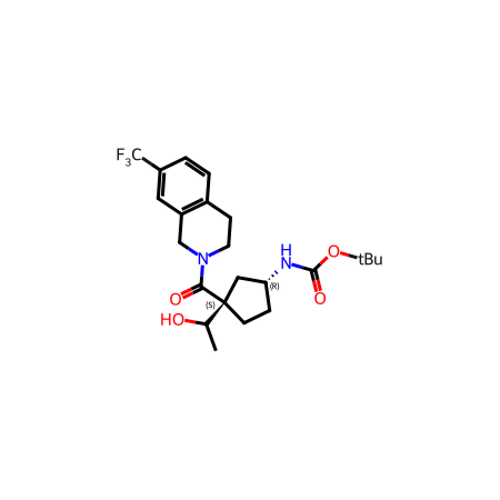 CC(O)[C@]1(C(=O)N2CCc3ccc(C(F)(F)F)cc3C2)CC[C@@H](NC(=O)OC(C)(C)C)C1